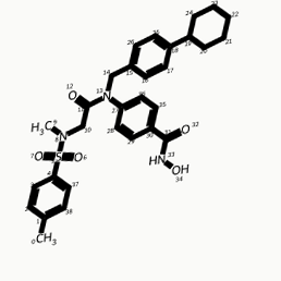 Cc1ccc(S(=O)(=O)N(C)CC(=O)N(Cc2ccc(C3CCCCC3)cc2)c2ccc(C(=O)NO)cc2)cc1